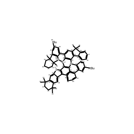 CC(C)(C)c1ccc(N2c3ccc4c(sc5cc6c(cc54)C(C)(C)CCC6(C)C)c3B3c4c(cc5c(c42)-c2ccccc2C5(C)C)-c2cc(C(C)(C)C)cc4c2N3C2(C)CCCCC42C)c(-c2ccccc2)c1